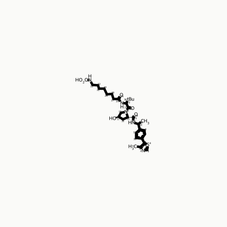 Cc1ncsc1-c1ccc(C(C)NC(=O)[C@@H]2C[C@@H](O)CN2C(=O)C(NC(=O)CCCCCCCNC(=O)O)C(C)(C)C)cc1